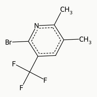 Cc1cc(C(F)(F)F)c(Br)nc1C